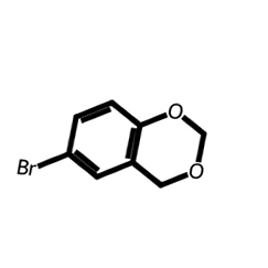 Brc1ccc2c(c1)COCO2